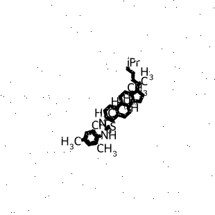 Cc1cc(C)c(Nc2nc3c(s2)C2=CC[C@@H]4[C@H](CC[C@]5(C)C(C(C)CCCC(C)C)CC[C@@H]45)[C@@]2(C)CC3)c(C)c1